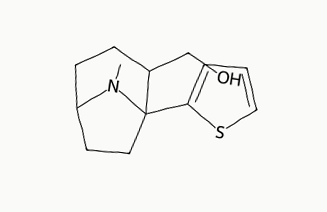 CN1C2CCC(CO)C1(c1cccs1)CC2